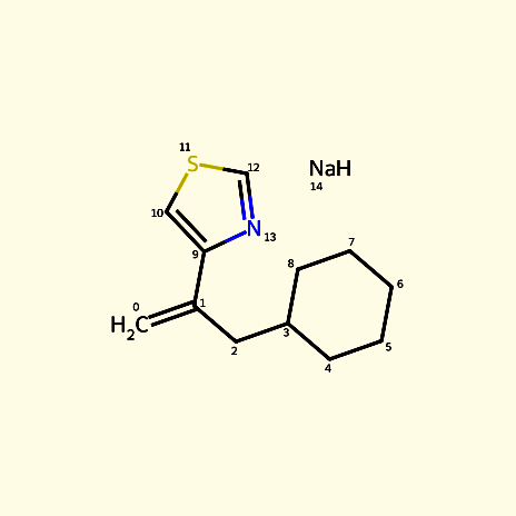 C=C(CC1CCCCC1)c1cscn1.[NaH]